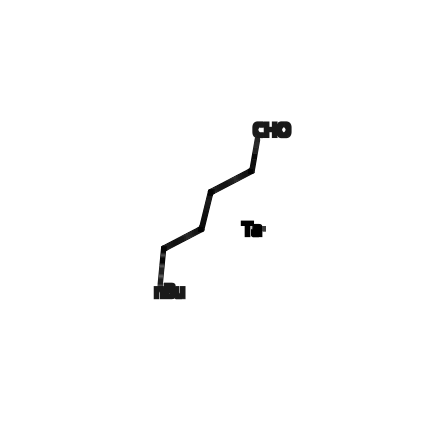 CCCCCCCCC=O.[Ta]